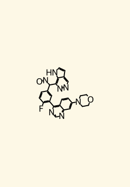 O=NC(c1ccc(F)c(-c2ncnc3cc(N4CCOCC4)ccc23)c1)c1nncc2cc[nH]c12